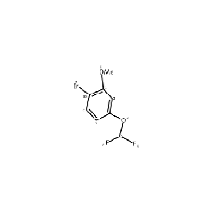 COc1cc(OC(F)F)ccc1Br